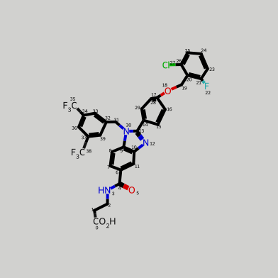 O=C(O)CCNC(=O)c1ccc2c(c1)nc(-c1ccc(OCc3c(F)cccc3Cl)cc1)n2Cc1cc(C(F)(F)F)cc(C(F)(F)F)c1